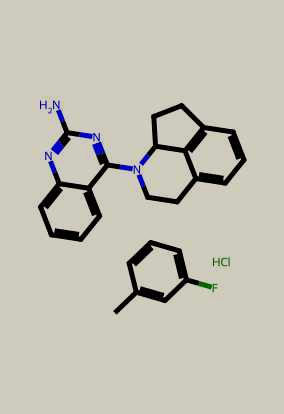 Cc1cccc(F)c1.Cl.Nc1nc(N2CCc3cccc4c3C2CC4)c2ccccc2n1